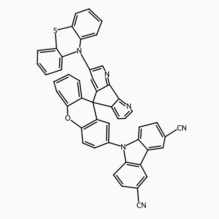 N#Cc1ccc2c(c1)c1cc(C#N)ccc1n2-c1ccc2c(c1)C1(c3ccccc3O2)c2cccnc2-c2ncc(N3c4ccccc4Sc4ccccc43)cc21